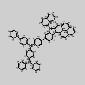 c1ccc(-c2ccc(N(c3ccc(-c4ccc5c6c7ccc8cccc9ccc(cc6n(-c6cccc%10ccccc6%10)c5c4)c7c98)cc3)c3ccc(N(c4ccccc4)c4ccccc4)cc3)cc2)cc1